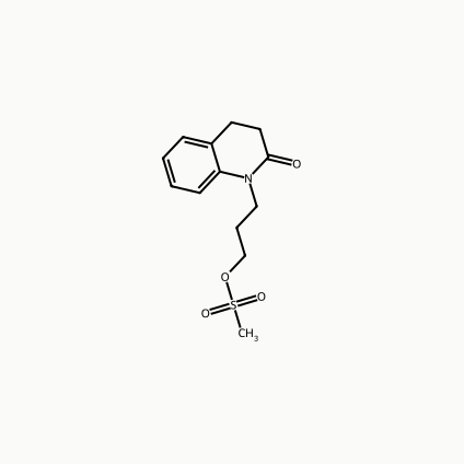 CS(=O)(=O)OCCCN1C(=O)CCc2ccccc21